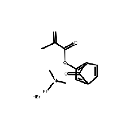 Br.C=C(C)C(=O)OC1=C2C=CC(=C1)C2=O.CCN(C)C